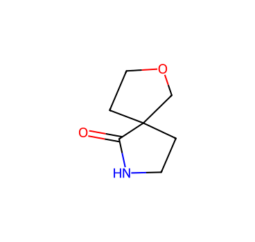 O=C1NCCC12CCOC2